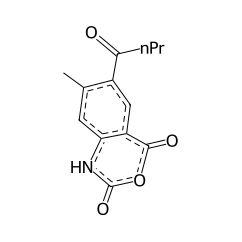 CCCC(=O)c1cc2c(=O)oc(=O)[nH]c2cc1C